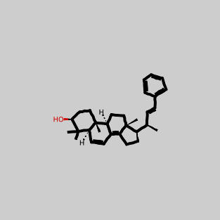 C[C@H](/C=C/c1ccccc1)[C@H]1CCC2=C3C=C[C@H]4C(C)(C)[C@@H](O)CC[C@]4(C)[C@H]3CC[C@@]21C